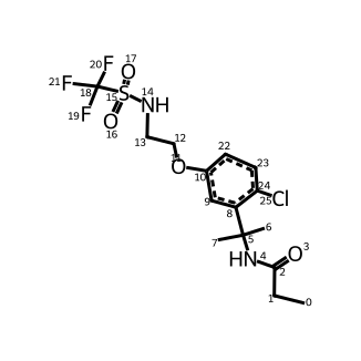 CCC(=O)NC(C)(C)c1cc(OCCNS(=O)(=O)C(F)(F)F)ccc1Cl